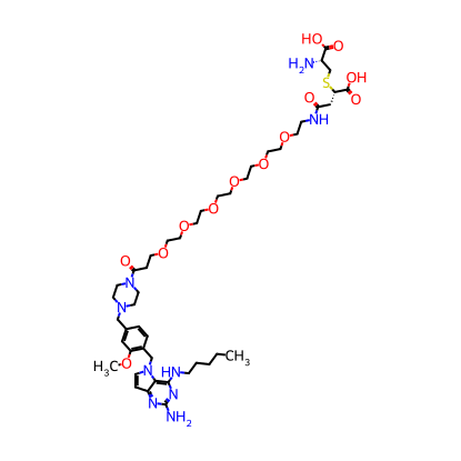 CCCCCNc1nc(N)nc2ccn(Cc3ccc(CN4CCN(C(=O)CCOCCOCCOCCOCCOCCOCCNC(=O)C[C@H](SC[C@H](N)C(=O)O)C(=O)O)CC4)cc3OC)c12